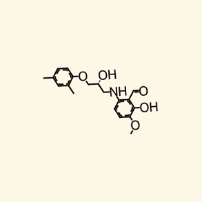 COc1ccc(NC[C@@H](O)COc2ccc(C)cc2C)c(C=O)c1O